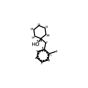 Cc1c[c]ccc1CC1(O)CCCCC1